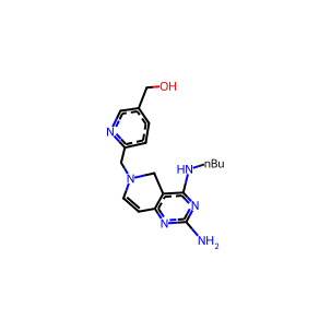 CCCCNc1nc(N)nc2c1CN(Cc1ccc(CO)cn1)C=C2